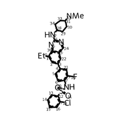 CCc1cc(-c2ccc(NS(=O)(=O)c3ccccc3Cl)c(F)c2)cc2cnc(NC3CCC(NC)CC3)nc12